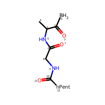 BC(=O)C(C)NC(=O)CNC(=O)CCCCC